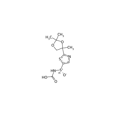 CC1(C)OCC(C)(c2ncc([S@+]([O-])NC(=O)O)s2)O1